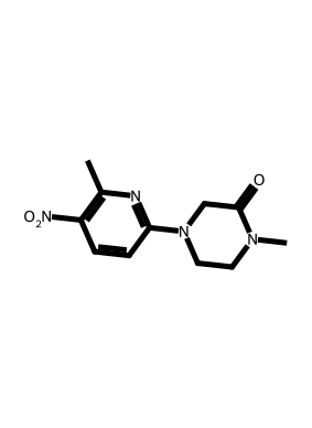 Cc1nc(N2CCN(C)C(=O)C2)ccc1[N+](=O)[O-]